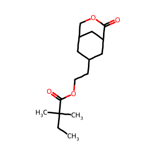 CCC(C)(C)C(=O)OCCC1CC2COC(=O)C(C1)C2